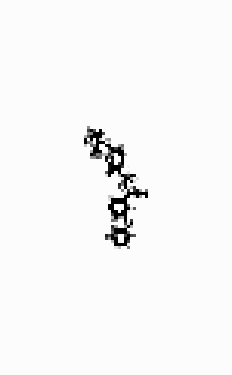 CC1(C)[C@H](C(=O)OC(C#N)c2cccc(Oc3ccccc3)c2)[C@@H]1/C=C\C(=O)OC(C(F)(F)F)C(F)(F)F